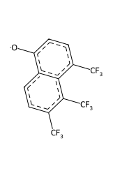 [O]c1ccc(C(F)(F)F)c2c(C(F)(F)F)c(C(F)(F)F)ccc12